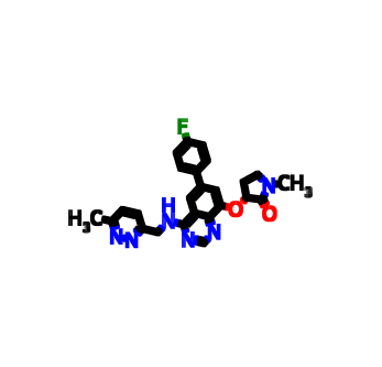 Cc1ccc(CNc2ncnc3c(OC4CCN(C)C4=O)cc(-c4ccc(F)cc4)cc23)nn1